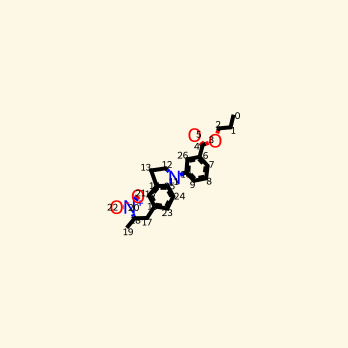 CCCOC(=O)c1cccc(N2CCc3cc(CC(C)[N+](=O)[O-])ccc32)c1